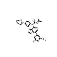 C=C(C)OC(=O)N(c1ccc(N2CCOCC2)cc1)c1ncc(-c2cc(F)nc(C(F)(F)F)c2)n2ccnc12